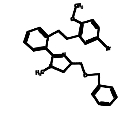 COc1ccc(Br)cc1CCc1ccccc1C1=NC(COCc2ccccc2)CN1C